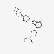 O=C(C1CC1)N1CCN(c2ccnn3cc(-c4ccc(N5CCC6(CNC6)C5)cc4)cc23)CC1